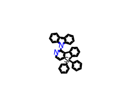 c1ccc([Si]2(c3ccccc3)c3ccccc3-c3c2ccnc3-n2c3ccccc3c3ccccc32)cc1